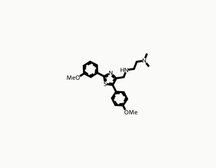 COc1ccc(-c2sc(-c3cccc(OC)c3)nc2CNCCN(C)C)cc1